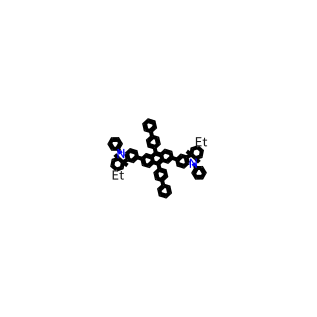 CCC1CCC2(C)N(c3ccccc3)c3ccc(-c4ccc5c(-c6ccc(-c7ccccc7)cc6)c6cc(-c7ccc8c(c7)C7(C)CC(CC)CCC7(C)N8c7ccccc7)ccc6c(-c6ccc(-c7ccccc7)cc6)c5c4)cc3C2(C)C1